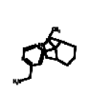 COC1(c2ccnc(CN)c2)C2CCCC1CNC2